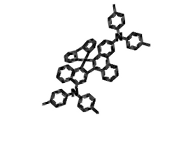 Cc1ccc(N(c2ccc(C)cc2)c2ccc3c4c(c5ccccc5c3c2)-c2cc(N(c3ccc(C)cc3)c3ccc(C)cc3)c3ccccc3c2C42c3ccccc3-c3ccccc32)cc1